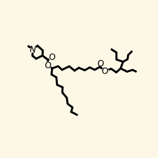 CCCCCCCCCCC(CCCCCCCCC(=O)OCCC(CCC)C(CCC)CCC)OC(=O)C1CCN(C)CC1